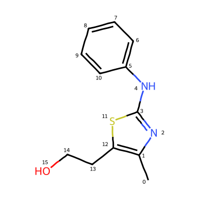 Cc1nc(Nc2ccccc2)sc1CCO